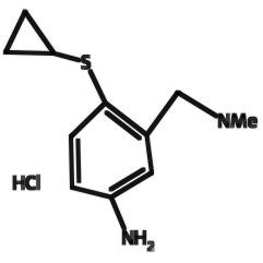 CNCc1cc(N)ccc1SC1CC1.Cl